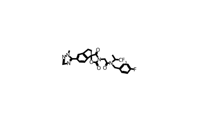 CC(N(Cc1ccc(F)cc1)C(=O)CN1C(=O)O[C@@]2(CCc3cc(-c4ncnn4C)ccc32)C1=O)C(F)(F)F